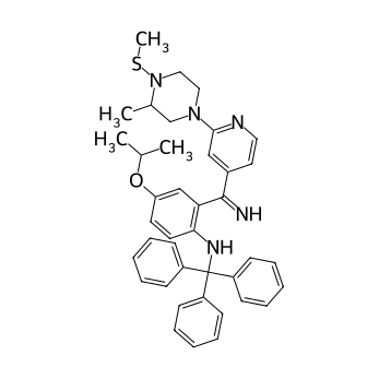 CSN1CCN(c2cc(C(=N)c3cc(OC(C)C)ccc3NC(c3ccccc3)(c3ccccc3)c3ccccc3)ccn2)CC1C